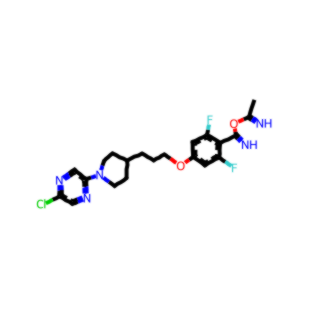 CC(=N)OC(=N)c1c(F)cc(OCCCC2CCN(c3cnc(Cl)cn3)CC2)cc1F